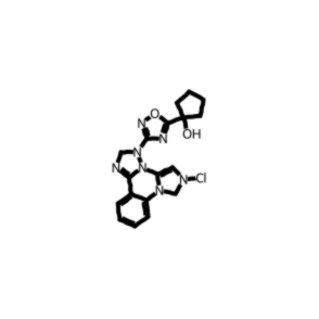 OC1(c2nc(N3CN=C4c5ccccc5N5CN(Cl)C=C5N43)no2)CCCC1